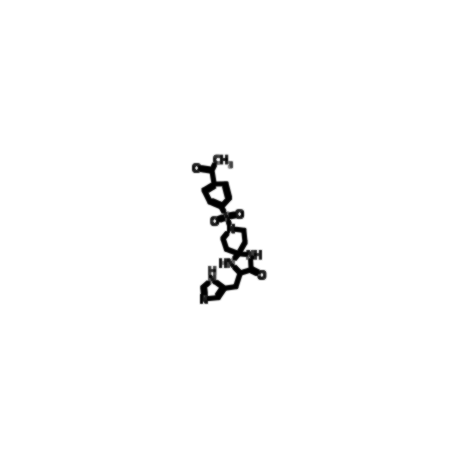 CC(=O)c1ccc(S(=O)(=O)N2CCC3(CC2)NC(=O)C(Cc2cnc[nH]2)N3)cc1